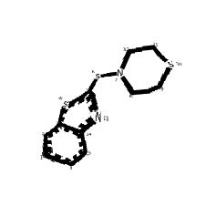 c1ccc2sc(SN3CCSCC3)nc2c1